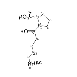 CC(=O)NCSCCC(=O)N1CCC[C@H]1C(=O)O